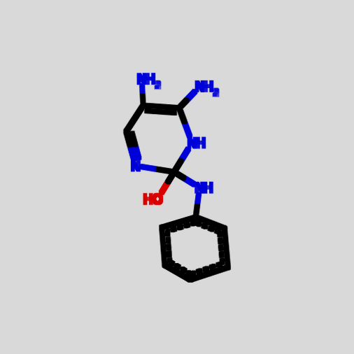 NC1=C(N)NC(O)(Nc2ccccc2)N=C1